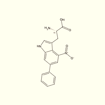 N[C@@H](Cc1c[nH]c2cc(-c3ccccc3)cc([N+](=O)[O-])c12)C(=O)O